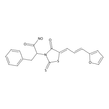 O=NC(=O)C(Cc1ccccc1)N1C(=O)/C(=C/C=C/c2ccco2)SC1=S